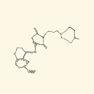 COc1ccc2c(c1)/C(=N/N1CC(=O)N(CCCN3CCN(C)CC3)C1=O)CCO2